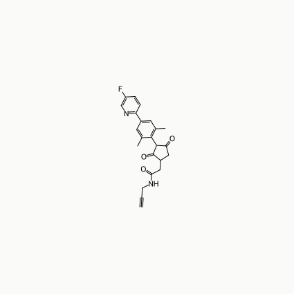 C#CCNC(=O)CC1CC(=O)C(c2c(C)cc(-c3ccc(F)cn3)cc2C)C1=O